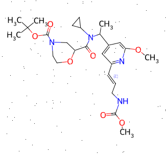 COC(=O)NC/C=C/c1cc(C(C)N(C(=O)C2CN(C(=O)OC(C)(C)C)CCO2)C2CC2)cc(OC)n1